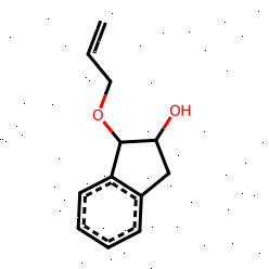 C=CCOC1c2ccccc2CC1O